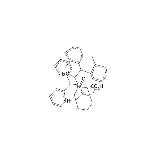 Cc1ccccc1C(c1ccccc1C)C(O)N1C[C@@H]2CCC[C@H]([C@H]1C(=O)O)N2C(=O)C(c1ccccc1)c1ccccc1